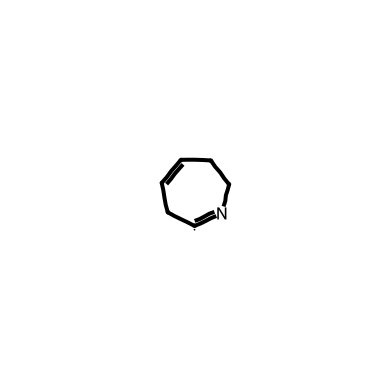 [C]1=NCCC=CC1